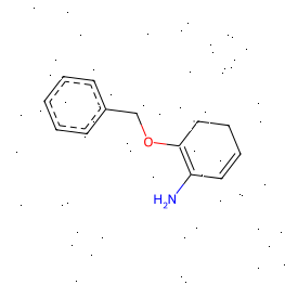 NC1=C(OCc2ccccc2)[CH]CC=C1